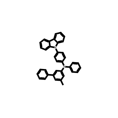 Cc1cc(-c2ccccc2)cc(N(c2ccccc2)c2ccc(-n3c4ccccc4c4ccccc43)cc2)c1